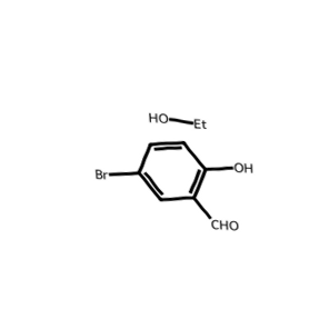 CCO.O=Cc1cc(Br)ccc1O